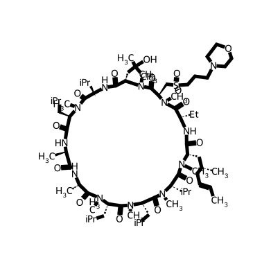 C/C=C/C[C@@H](C)C[C@H]1C(=O)N[C@@H](CC)C(=O)N(C)[C@H](CS(=O)(=O)CCCN2CCOCC2)C(=O)N(C)[C@@H](CC(C)(C)O)C(=O)N[C@H](C(C)C)C(=O)N(C)[C@H](CC(C)C)C(=O)N[C@H](C)C(=O)N[C@@H](C)C(=O)N(C)[C@@H](CC(C)C)C(=O)N(C)[C@@H](CC(C)C)C(=O)N(C)[C@@H](C(C)C)C(=O)N1C